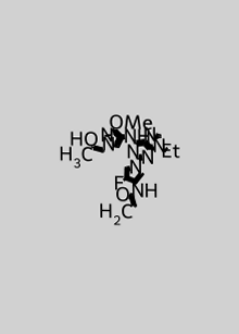 C=CC(=O)N[C@@H]1CN(c2nc(Nc3cn(CC(C)O)nc3OC)c3ncn(CC)c3n2)C[C@@H]1F